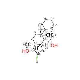 C[C@]12CC[C@H]3[C@@H]([C@@H](O)CC4=CCCC[C@@]43C)[C@@H]1C[C@@H](F)[C@@H]2O